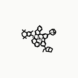 CCC1(c2ccc3c(c2)c2cc(C45CCC6CC(CC6C4)C5)cc4c2n3B2c3c(cc5ccccc5c3-4)N(c3cc4c(cc3C)C(C)(C)CCC4(C)C)c3ccc4ccccc4c32)CC2CCC(C2)C1